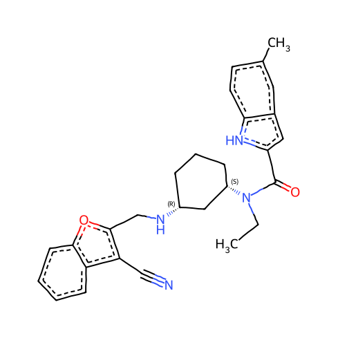 CCN(C(=O)c1cc2cc(C)ccc2[nH]1)[C@H]1CCC[C@@H](NCc2oc3ccccc3c2C#N)C1